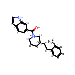 O=C(c1ccc2cc[nH]c2c1)N1CCC[C@H](CCc2ccccc2C(F)(F)F)C1